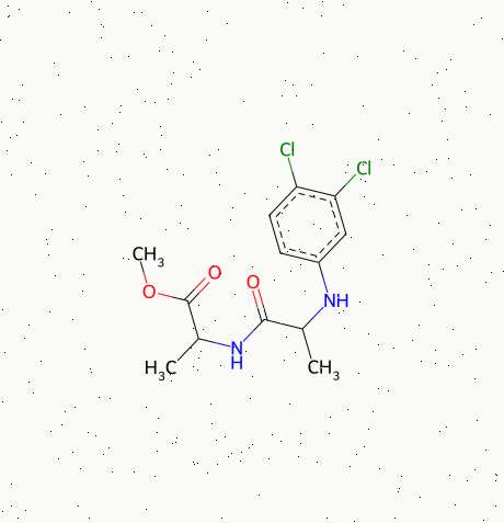 COC(=O)C(C)NC(=O)C(C)Nc1ccc(Cl)c(Cl)c1